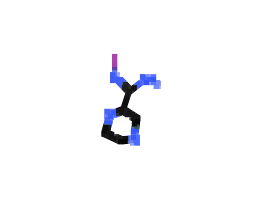 N/C(=N\I)c1cnccn1